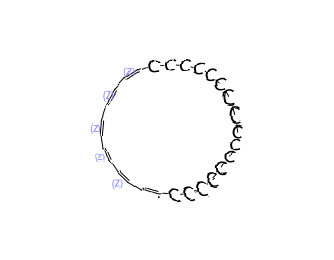 [C]1=C\C=C/C=C\C=C/C=C\C=C/CCCCCCCCCCCCCCCC1